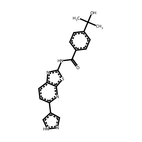 CC(C)(O)c1ccc(C(=O)Nc2nc3ccc(-c4cn[nH]c4)nc3s2)cc1